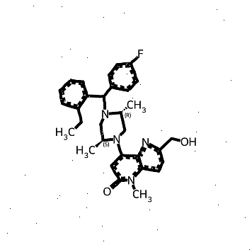 CCc1ccccc1C(c1ccc(F)cc1)N1C[C@H](C)N(c2cc(=O)n(C)c3ccc(CO)nc23)C[C@H]1C